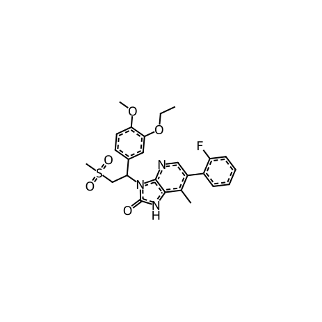 CCOc1cc(C(CS(C)(=O)=O)n2c(=O)[nH]c3c(C)c(-c4ccccc4F)cnc32)ccc1OC